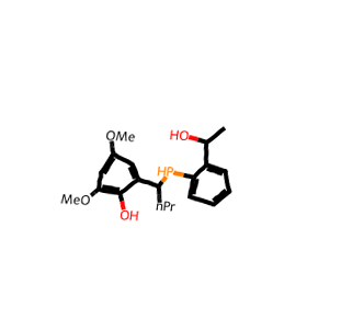 CCCC(Pc1ccccc1C(C)O)c1cc(OC)cc(OC)c1O